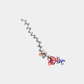 CCCCCCCCCCCCCCCCCC[S+]([O-])CC(F)COP(=O)(O)OCC[N+](C)(C)C